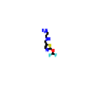 NCCNCc1cnc(OC(F)F)s1